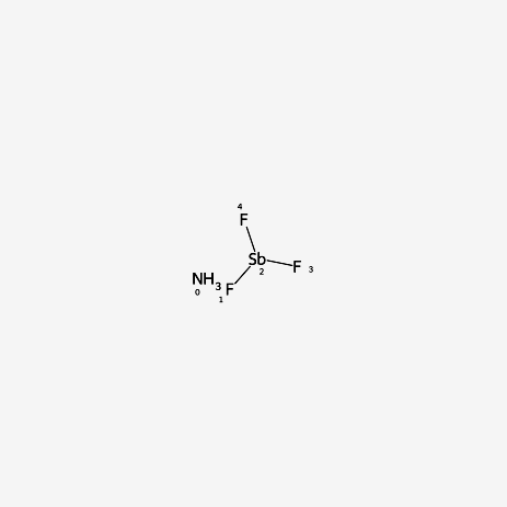 N.[F][Sb]([F])[F]